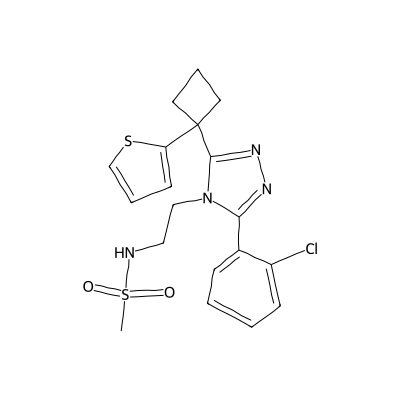 CS(=O)(=O)NCCn1c(-c2ccccc2Cl)nnc1C1(c2cccs2)CCC1